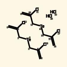 C=C(Cl)C[Te]CC(=C)Cl.C=C(Cl)C[Te]CC(=C)Cl.Cl.Cl